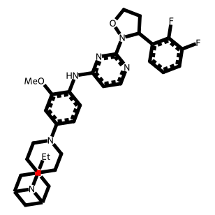 CCN1CC2CC(C1)N2C1CCN(c2ccc(Nc3ccnc(N4OCCC4c4cccc(F)c4F)n3)c(OC)c2)CC1